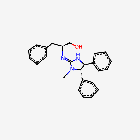 CN1/C(=N/[C@H](CO)Cc2ccccc2)N[C@@H](c2ccccc2)[C@@H]1c1ccccc1